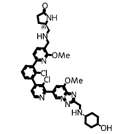 COc1nc(-c2cccc(-c3ccnc(-c4cc(OC)c5nc(CN[C@H]6CC[C@H](O)CC6)nn5c4)c3Cl)c2Cl)ccc1CNC[C@H]1CCC(=O)N1